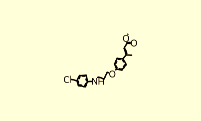 COC(=O)C=C(C)c1ccc(OCCCNc2ccc(Cl)cc2)cc1